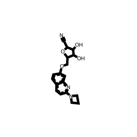 N#CC1OC(COc2ccc3ccc(N4CCC4)nc3c2)C(O)C1O